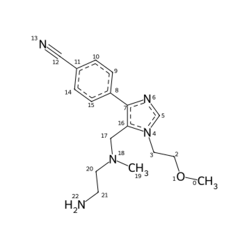 COCCn1cnc(-c2ccc(C#N)cc2)c1CN(C)CCN